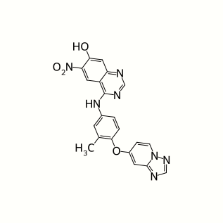 Cc1cc(Nc2ncnc3cc(O)c([N+](=O)[O-])cc23)ccc1Oc1ccn2ncnc2c1